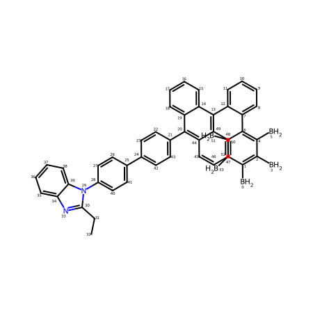 Bc1c(B)c(B)c(-c2ccccc2-c2c3ccccc3c(-c3ccc(-c4ccc(-n5c(CC)nc6ccccc65)cc4)cc3)c3ccccc23)c(B)c1B